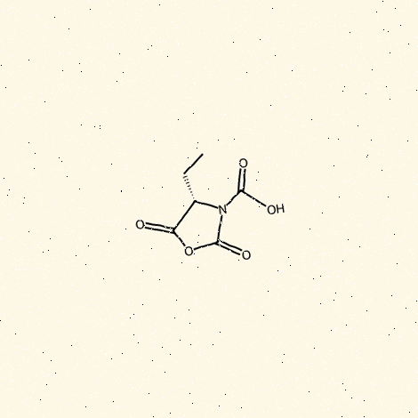 CC[C@H]1C(=O)OC(=O)N1C(=O)O